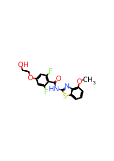 COc1cccc2sc(NC(=O)c3c(F)cc(OCCO)cc3F)nc12